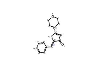 O=C1N=C(N2CCOCC2)S/C1=C\c1ccncc1